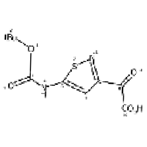 CC(C)(C)OC(=O)Nc1cc(C(=O)C(=O)O)ns1